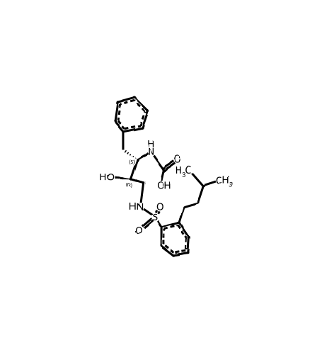 CC(C)CCc1ccccc1S(=O)(=O)NC[C@@H](O)[C@H](Cc1ccccc1)NC(=O)O